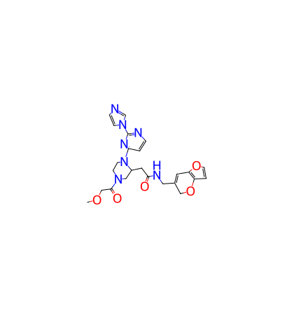 COCC(=O)N1CCN(c2ccnc(-n3ccnc3)n2)C(CC(=O)NCC2=Cc3occc3OC2)C1